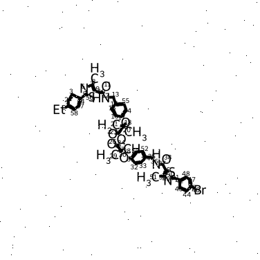 CCc1ccc(-c2nc(C)c(C(=O)NCc3ccc(OC(C)(C)C(=O)OC(=O)C(C)(C)Oc4ccc(CNC(=O)c5sc(-c6ccc(Br)cc6)nc5C)cc4)cc3)s2)cc1